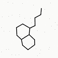 CCCC[C]1CCCC2CCCCC12